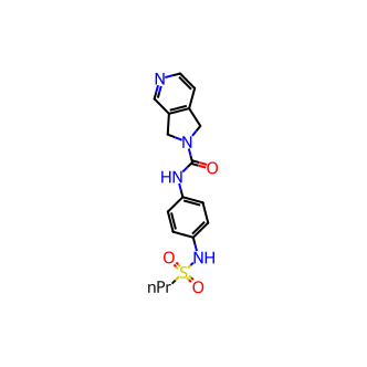 CCCS(=O)(=O)Nc1ccc(NC(=O)N2Cc3ccncc3C2)cc1